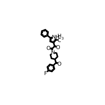 Cc1[nH]c(-c2ccccc2)cc1C(=O)C(=O)N1CCC(C(=O)c2ccc(F)cc2)CC1